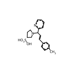 Cc1ccc(C=CC(c2ccccn2)N2CCCC2)cc1.O=S(=O)(O)O